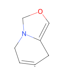 [C]1=CCN2COC=C2C1